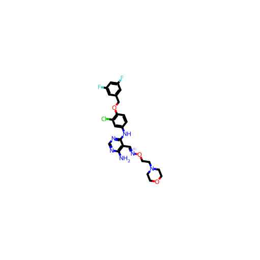 Nc1ncnc(Nc2ccc(OCc3cc(F)cc(F)c3)c(Cl)c2)c1/C=N/OCCN1CCOCC1